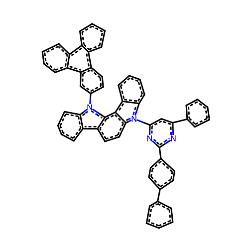 c1ccc(-c2ccc(-c3nc(-c4ccccc4)cc(-n4c5ccccc5c5c4ccc4c6ccccc6n(-c6ccc7c8ccccc8c8ccccc8c7c6)c45)n3)cc2)cc1